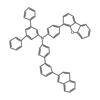 c1ccc(-c2cc(-c3ccccc3)cc(N(c3ccc(-c4cccc(-c5ccc6ccccc6c5)c4)cc3)c3ccc(-c4cccc5c4oc4ccccc45)cc3)c2)cc1